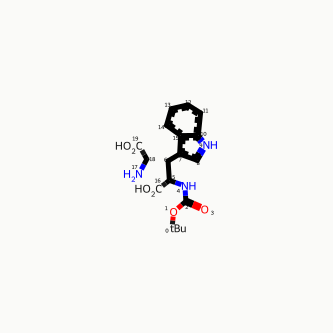 CC(C)(C)OC(=O)NC(Cc1c[nH]c2ccccc12)C(=O)O.NCC(=O)O